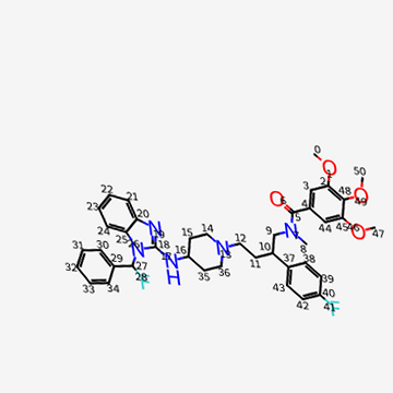 COc1cc(C(=O)N(C)CC(CCN2CCC(Nc3nc4ccccc4n3C(F)c3ccccc3)CC2)c2ccc(F)cc2)cc(OC)c1OC